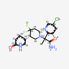 CC(C(N)=O)(c1ccc(Cl)cn1)N1CCC(F)(F)[C@@H](c2ccc(=O)[nH]c2)C1